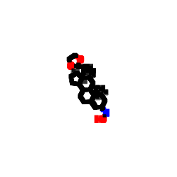 CC1([C@H]2CCC3C4CCC5=CC(=NO)CC[C@]5(C)C4CC[C@@]32C)OCCO1